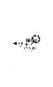 CCOC(=O)C(Cc1ccccc1)(NC(C)=O)C(=O)O